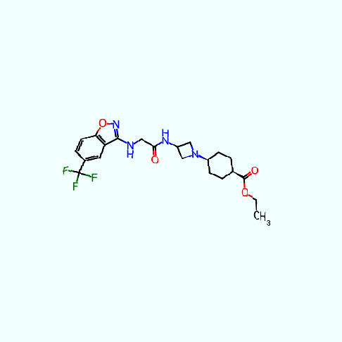 CCOC(=O)[C@H]1CC[C@@H](N2CC(NC(=O)CNc3noc4ccc(C(F)(F)F)cc34)C2)CC1